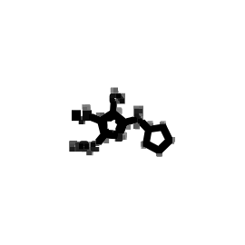 CCOC(=O)c1sc(NC2CCCC2)c(C#N)c1N